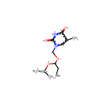 Cc1cn(COC(CC(C)(C)C)O[SiH](C)C)c(=O)[nH]c1=O